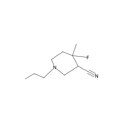 CCCN1CCC(C)(F)C(C#N)C1